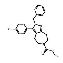 CC(C)(C)OC(=O)N1CCc2nn(Cc3ccccn3)c(-c3ccc(Cl)cc3)c2CC1